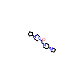 O=C(CN1CCC(N2CCCC2)CC1)N1CCN(C2CCCC2)CC1